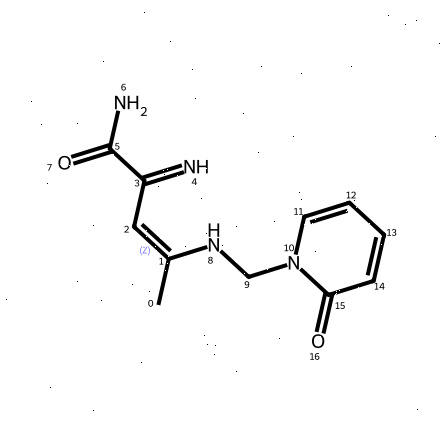 C/C(=C/C(=N)C(N)=O)NCn1ccccc1=O